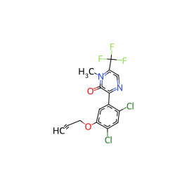 C#CCOc1cc(-c2ncc(C(F)(F)F)n(C)c2=O)c(Cl)cc1Cl